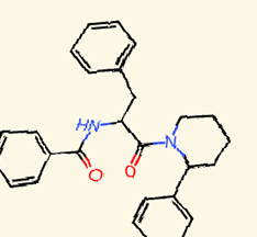 O=C(NC(Cc1ccccc1)C(=O)N1CCCCC1c1ccccc1)c1ccccc1